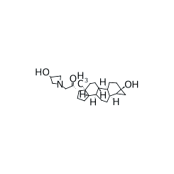 C[C@]12CC[C@@H]3[C@H]4CC[C@]5(O)CC5[C@H]4CC[C@H]3[C@@H]1CC[C@@H]2C(=O)CN1CC(O)C1